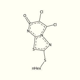 CCCCCCSc1nn2c(Cl)c(Cl)c(=O)nc2s1